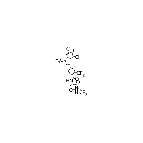 O=C(N[C@H](CO)C(=O)NCC(F)(F)F)c1ccc(/C=C/C(c2cc(Cl)c(Cl)c(Cl)c2)C(F)(F)F)cc1C(F)(F)F